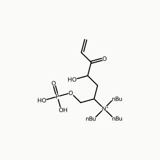 C=CC(=O)C(O)CC(COP(=O)(O)O)[N+](CCCC)(CCCC)CCCC